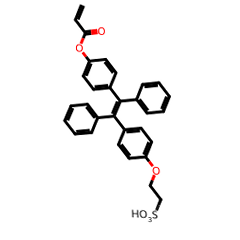 C=CC(=O)Oc1ccc(/C(=C(\c2ccccc2)c2ccc(OCCS(=O)(=O)O)cc2)c2ccccc2)cc1